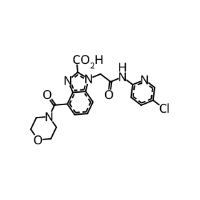 O=C(Cn1c(C(=O)O)nc2c(C(=O)N3CCOCC3)cccc21)Nc1ccc(Cl)cn1